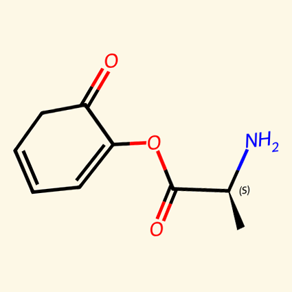 C[C@H](N)C(=O)OC1=CC=CCC1=O